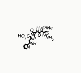 CON=C(C(=O)NC1C(=O)N2C(C(=O)O)=C(C=C(S)c3ccccn3)CSC12)c1csc(N)n1